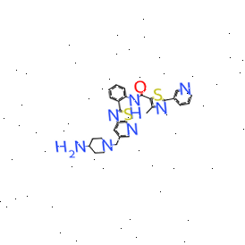 Cc1nc(-c2cccnc2)sc1C(=O)Nc1ccccc1-c1nc2cc(CN3CCC(N)CC3)cnc2s1